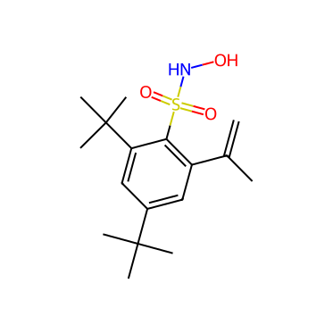 C=C(C)c1cc(C(C)(C)C)cc(C(C)(C)C)c1S(=O)(=O)NO